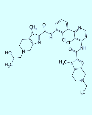 CCN1CCc2c(nc(C(=O)Nc3ccnc(-c4cccc(NC(=O)c5nc6c(n5C)CCN(CC(C)O)C6)c4Cl)c3Cl)n2C)C1